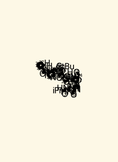 CC(C)C(=O)Nc1nc2c(ncn2[C@@H]2O[C@H](CO)CC2OP(O)(=S)OC[C@H]2O[C@@H](n3ccc4c(NC(=O)c5ccccc5)ncnc43)C(O[Si](C)(C)C(C)(C)C)C2O)c(=O)[nH]1